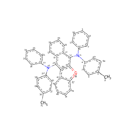 Cc1ccc(N(c2ccccc2)c2c3ccccc3c(N(c3ccccc3)c3ccc(C)cc3)c3c2oc2ccccc23)cc1